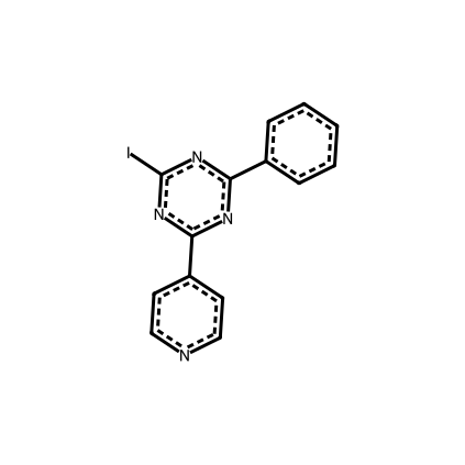 Ic1nc(-c2ccccc2)nc(-c2ccncc2)n1